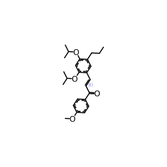 CCCc1cc(/C=C/C(=O)c2ccc(OC)cc2)c(OC(C)C)cc1OC(C)C